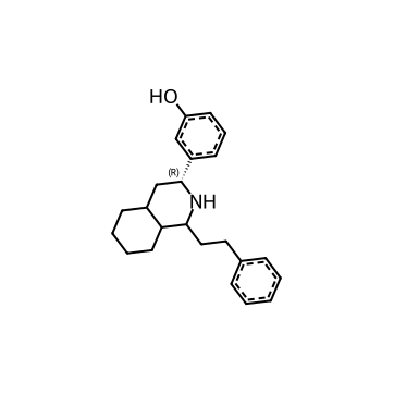 Oc1cccc([C@H]2CC3CCCCC3C(CCc3ccccc3)N2)c1